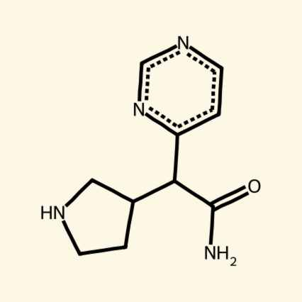 NC(=O)C(c1ccncn1)C1CCNC1